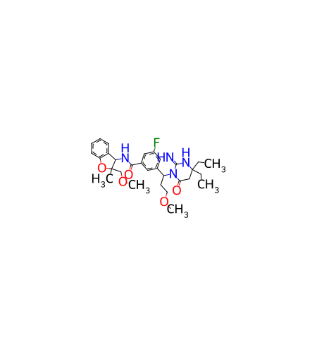 CCC1(CC)CC(=O)N(C(CCOC)c2cc(F)cc(C(=O)NC3c4ccccc4OC3(C)COC)c2)C(=N)N1